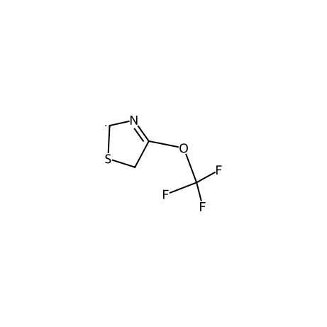 FC(F)(F)OC1=N[CH]SC1